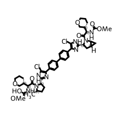 COC(=O)N[C@H](C(=O)N1C2C[C@@H]2C[C@H]1c1nc(-c2ccc(-c3ccc(-c4nc([C@@H]5CC[C@@H](C)N5C(=O)[C@@H](NC(O)OC)[C@H]5CCCOC5)[nH]c4Cl)cc3)cc2)c(Cl)[nH]1)[C@H]1CCCOC1